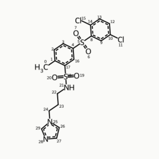 Cc1ccc(S(=O)(=O)c2cc(Cl)ccc2Cl)cc1S(=O)(=O)NCCCn1ccnc1